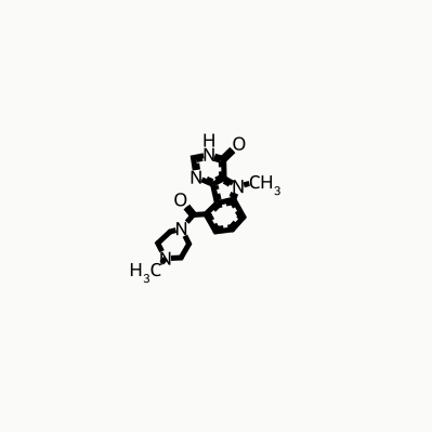 CN1CCN(C(=O)c2cccc3c2c2nc[nH]c(=O)c2n3C)CC1